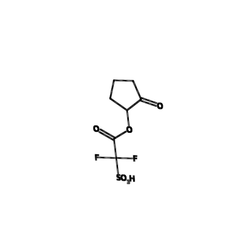 O=C1CCCC1OC(=O)C(F)(F)S(=O)(=O)O